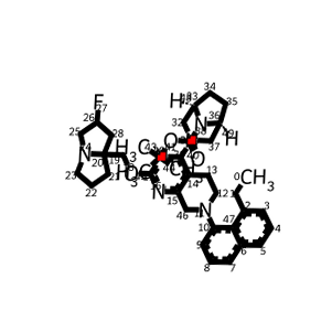 CCc1cccc2cccc(N3CCc4c(nc(OCC56CCCN5CC(F)C6)nc4N4C[C@H]5CC[C@@H](C4)N5C(=O)OC(C)(C)C)C3)c12